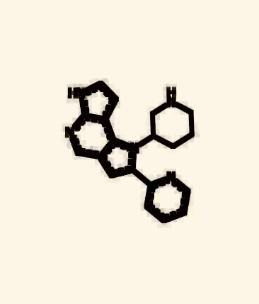 c1ccc(-c2cc3cnc4[nH]ccc4c3n2C2CCCNC2)nc1